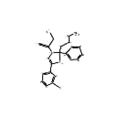 CCC(=O)N1N=C(c2cccc(F)c2)SC1(CCCN)c1ccccc1